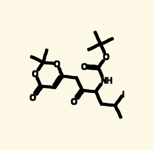 CC(I)CC(NC(=O)OC(C)(C)C)C(=O)CC1=CC(=O)OC(C)(C)O1